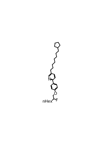 CCCCCCC(F)COc1ccc(-c2ccc(CCCCCCCCC3CCCC3)cn2)cc1